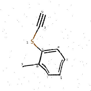 C#CSc1ccccc1C